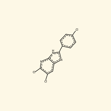 Clc1ccc(-c2nc3cc(Cl)c(Cl)nc3[nH]2)cc1